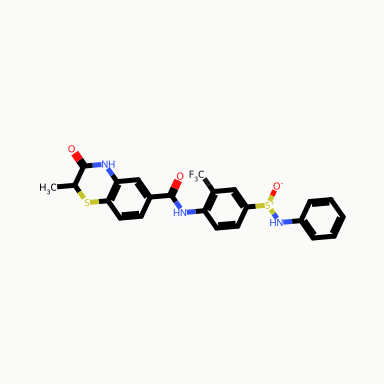 CC1Sc2ccc(C(=O)Nc3ccc([S+]([O-])Nc4ccccc4)cc3C(F)(F)F)cc2NC1=O